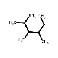 CCC(C)C(C)C(C)N